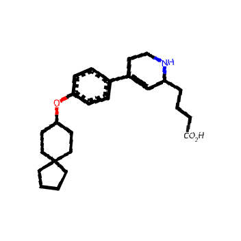 O=C(O)CCCC1C=C(c2ccc(OC3CCC4(CCCC4)CC3)cc2)CCN1